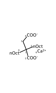 CCCCCCCCC(CCCCCCCC)(CC(=O)[O-])C(=O)[O-].[Ca+2]